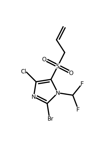 C=CCS(=O)(=O)c1c(Cl)nc(Br)n1C(F)F